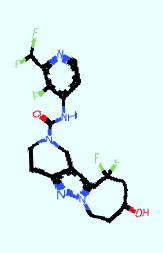 O=C(Nc1ccnc(C(F)F)c1F)N1CCc2nn3c(c2C1)C(F)(F)CC(O)CC3